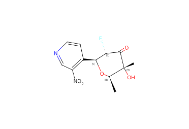 C[C@H]1O[C@@H](c2ccncc2[N+](=O)[O-])[C@H](F)C(=O)[C@]1(C)O